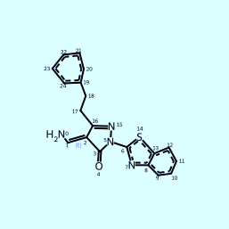 N/C=C1/C(=O)N(c2nc3ccccc3s2)N=C1CCc1ccccc1